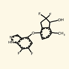 Cc1ccc(Oc2cc(F)c(F)c3[nH]ncc23)c2c1C(O)C(F)(F)C2